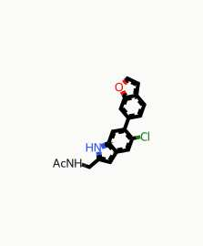 CC(=O)NCc1cc2cc(Cl)c(-c3ccc4ccoc4c3)cc2[nH]1